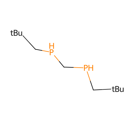 CC(C)(C)CPCPCC(C)(C)C